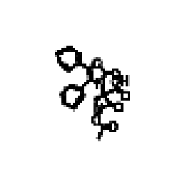 CC(=O)ON1CC(C(=O)O)(n2c(-c3ccccc3)c(-c3ccccc3)oc2=O)C1=O